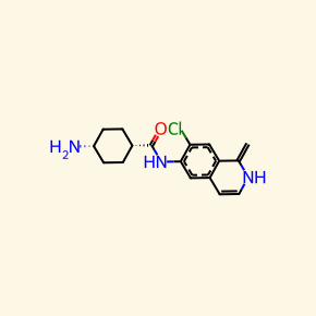 C=C1NC=Cc2cc(NC(=O)[C@H]3CC[C@@H](N)CC3)c(Cl)cc21